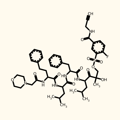 C#CCNC(=O)c1ccc(F)c(S(=O)(=O)OCC(C)(O)C(=O)C(CC(C)C)NC(=O)C(Cc2ccccc2)NC(=O)C(CC(C)C)NC(=O)C(CCc2ccccc2)NC(=O)CN2CCOCC2)c1